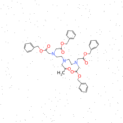 CC(=O)CN(CCN(CC(=O)OCc1ccccc1)CC(=O)OCc1ccccc1)CCN(CC(=O)OCc1ccccc1)CC(=O)OCc1ccccc1